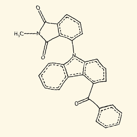 CN1C(=O)c2cccc(-n3c4ccccc4c4c(C(=O)c5ccccc5)cccc43)c2C1=O